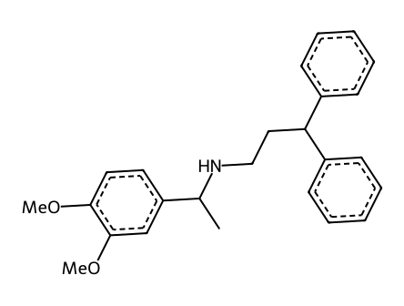 COc1ccc(C(C)NCCC(c2ccccc2)c2ccccc2)cc1OC